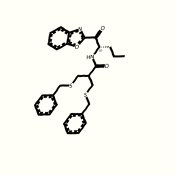 CCC[C@H](NC(=O)C(CSCc1ccccc1)CSCc1ccccc1)C(=O)c1nc2ccccc2o1